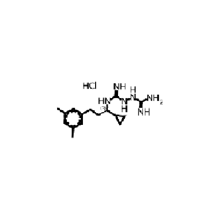 Cc1cc(C)cc(CC[C@@H](NC(=N)NNC(=N)N)C2CC2)c1.Cl